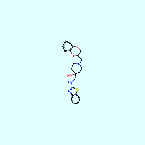 OC1(CNc2nc3ccccc3s2)CCN(CC2COc3ccccc3O2)CC1